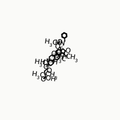 CC(=O)O[C@H](CNCc1ccccc1)C12CC[C@]3(C)[C@H](CC[C@@H]4[C@@]5(C)CC[C@H](OC(=O)CC(C)(C)C(=O)O)C6(C)C[C@]65CC[C@]43C)C1=C(C(C)C)C(=O)C2